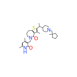 Cc1cc(C)c(CN2CCCc3sc(C(C)C4CCN(CC5(C)CCCC5)CC4)c(C)c3C2=O)c(=O)[nH]1